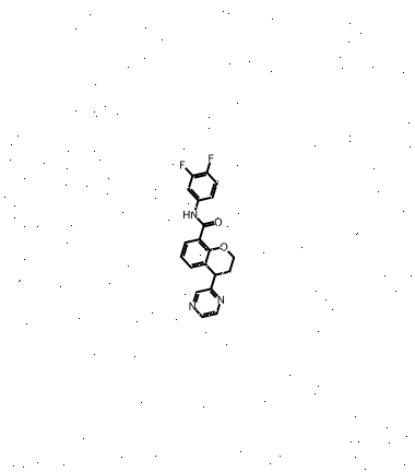 O=C(Nc1ccc(F)c(F)c1)c1cccc2c1OCCC2c1cnccn1